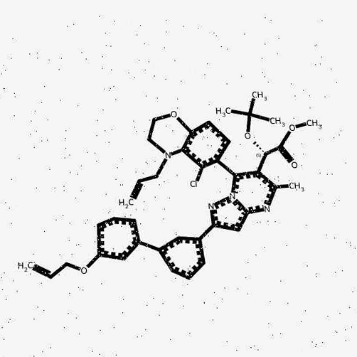 C=CCOc1cccc(-c2cccc(-c3cc4nc(C)c([C@H](OC(C)(C)C)C(=O)OC)c(-c5ccc6c(c5Cl)N(CC=C)CCO6)n4n3)c2)c1